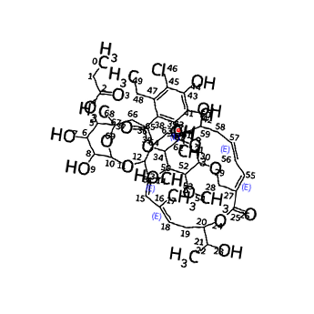 CCC(=O)OC1C(O)C(O)C2OC3/C(C)=C/C(C)=C/CC(C(C)O)OC(=O)/C(COC4OC(C)C(OC(=O)c5c(O)c(Cl)c(O)c(Cl)c5CC)C(O)C4OC)=C/C=C/CC(O)/C(C)=C/C3CCC1(C)O2